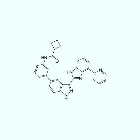 O=C(Nc1cncc(-c2ccc3[nH]nc(-c4nc5c(-c6ccccn6)cccc5[nH]4)c3c2)c1)C1CCC1